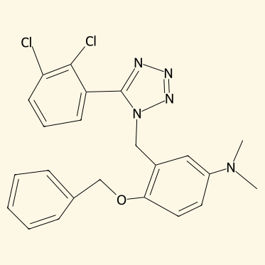 CN(C)c1ccc(OCc2ccccc2)c(Cn2nnnc2-c2cccc(Cl)c2Cl)c1